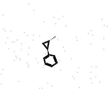 C[C@H]1C[C@@H]1c1cc[c]cc1